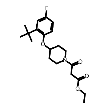 CCOC(=O)CC(=O)N1CCC(Oc2ccc(F)cc2C(C)(C)C)CC1